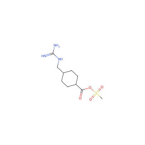 CS(=O)(=O)OC(=O)C1CCC(CNC(=N)N)CC1